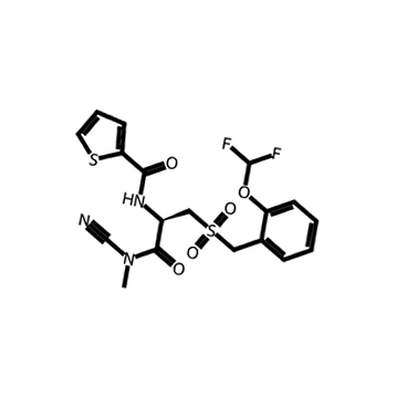 CN(C#N)C(=O)[C@H](CS(=O)(=O)Cc1ccccc1OC(F)F)NC(=O)c1cccs1